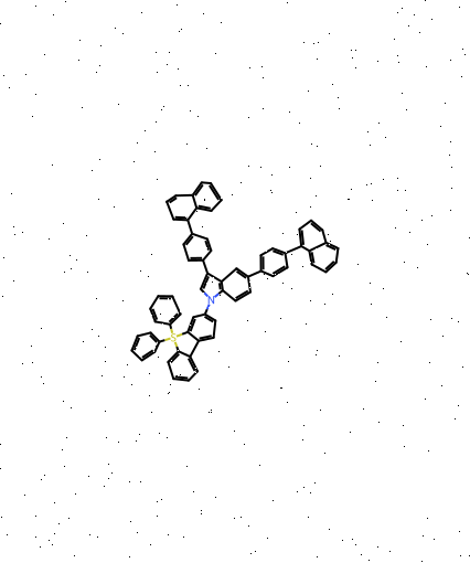 c1ccc(S2(c3ccccc3)c3ccccc3-c3ccc(-n4cc(-c5ccc(-c6cccc7ccccc67)cc5)c5cc(-c6ccc(-c7cccc8ccccc78)cc6)ccc54)cc32)cc1